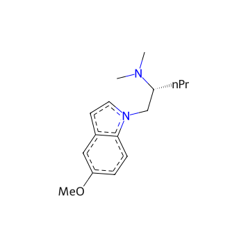 CCC[C@H](Cn1ccc2cc(OC)ccc21)N(C)C